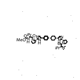 COC(=O)N[C@H](C(=O)N1CCC[C@H]1c1ncc(-c2ccc([C@H]3CC[C@H](c4cnc([C@@H]5CCCN5C(=O)[C@H](C(C)C)N(C)C)[nH]4)CC3)cc2)[nH]1)C(C)C